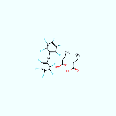 CCCC(=O)O.CCCC(=O)O.Fc1c(F)c(F)[c]([Ni][c]2c(F)c(F)c(F)c(F)c2F)c(F)c1F